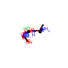 CCCCCc1cc2c(CCCCCNC(=O)OCc3ccc(NC(=O)[C@H](C)NC(=O)[C@@H](NC(=O)CCCCC(=O)O)C(C)C)cc3)cccc2nc1N.Cl